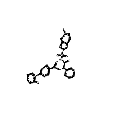 Cc1ccc2cc(S(=O)(=O)NC(=O)C(NC(=O)c3ccc(-n4ccccc4=O)cc3)c3ccccc3)sc2c1